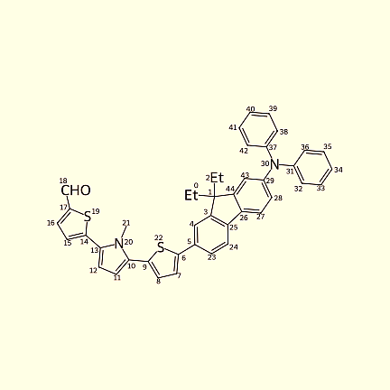 CCC1(CC)c2cc(-c3ccc(-c4ccc(-c5ccc(C=O)s5)n4C)s3)ccc2-c2ccc(N(c3ccccc3)c3ccccc3)cc21